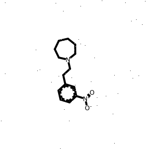 O=[N+]([O-])c1cccc(CCN2CCCCCC2)c1